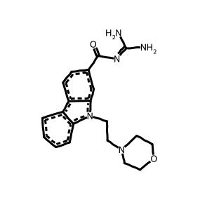 NC(N)=NC(=O)c1ccc2c3ccccc3n(CCN3CCOCC3)c2c1